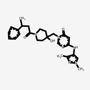 Cc1nn(C)cc1Nc1cc(=O)n(CC2(O)CCN(C(=O)CC(C)c3ccccc3)CC2)cn1